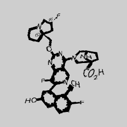 C#Cc1c(F)ccc2cc(O)cc(-c3ncc4c(N5CC6CCC(C(=O)O)(C5)N6)nc(OC[C@@]56CCCN5C[C@H](F)C6)nc4c3F)c12